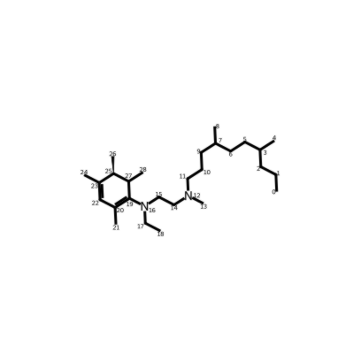 CCCC(C)CCC(C)CCCN(C)CCN(CC)C1=C(C)C=C(C)[C@@H](C)C1C